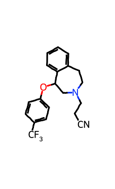 N#CCCN1CCc2ccccc2C(Oc2ccc(C(F)(F)F)cc2)C1